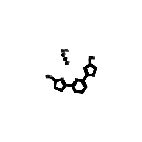 CC(C)(C)C1COC(c2cccc(C3=NC(C(C)(C)C)CO3)n2)=N1.[Cl-].[Cl-].[Cl-].[Fe+3]